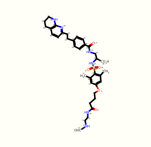 Cc1cc(OCCCC(=O)NCCNC=O)cc(C)c1S(=O)(=O)NC(CNC(=O)c1ccc(CCc2ccc3c(n2)NCCC3)cc1)C(=O)O